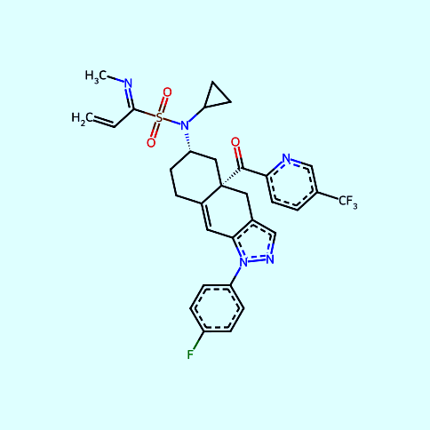 C=C/C(=N\C)S(=O)(=O)N(C1CC1)[C@H]1CCC2=Cc3c(cnn3-c3ccc(F)cc3)C[C@]2(C(=O)c2ccc(C(F)(F)F)cn2)C1